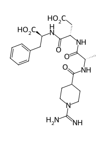 C[C@H](NC(=O)C1CCN(C(=N)N)CC1)C(=O)N[C@@H](CC(=O)O)C(=O)N[C@@H](Cc1ccccc1)C(=O)O